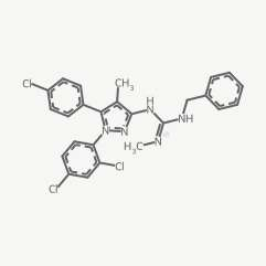 C/N=C(/NCc1ccccc1)Nc1nn(-c2ccc(Cl)cc2Cl)c(-c2ccc(Cl)cc2)c1C